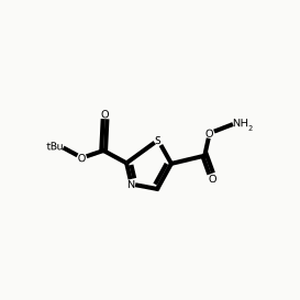 CC(C)(C)OC(=O)c1ncc(C(=O)ON)s1